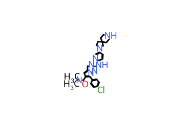 CN(C)C(=O)c1cc2cnc(Nc3ccc(N4CCC5(CCNCC5)C4)cn3)nn2c1-c1ccc(Cl)cc1